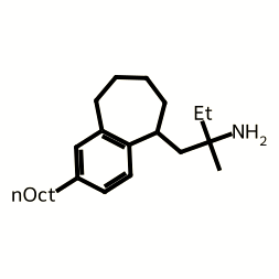 CCCCCCCCc1ccc2c(c1)CCCCC2CC(C)(N)CC